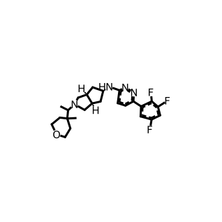 CC(N1C[C@H]2C[C@H](Nc3ccc(-c4cc(F)cc(F)c4F)nn3)C[C@H]2C1)C1(C)CCOCC1